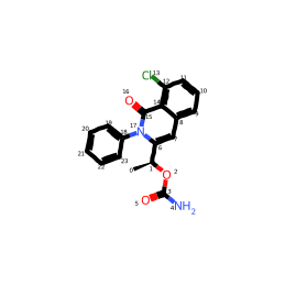 C[C@H](OC(N)=O)c1cc2cccc(Cl)c2c(=O)n1-c1ccccc1